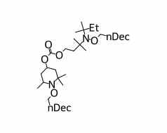 CCCCCCCCCCCON1C(C)CC(OC(=O)OCCC(C)(C)N(OCCCCCCCCCCC)C(C)(C)CC)CC1(C)C